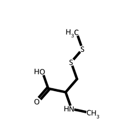 CNC(CSSC)C(=O)O